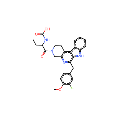 CCC(NC(=O)O)C(=O)N1CCc2c(nc(Cc3ccc(OC)c(F)c3)c3[nH]c4ccccc4c23)C1